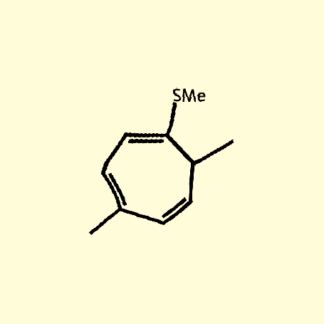 CSC1=CC=C(C)C=CC1C